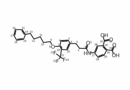 O=C(CCc1ccc(OCCCCCc2ccccc2)c(C(F)(F)F)c1)Nc1ccc(C(=O)O)c(C(=O)O)c1